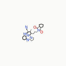 Cc1c(CCCN2C(=O)c3ccccc3C2=O)c(N2CCCC2N(C)C)n2c(nc3ccccc32)c1C#N